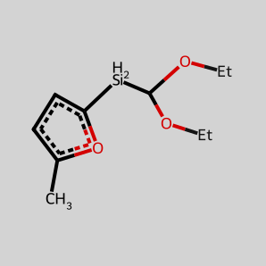 CCOC(OCC)[SiH2]c1ccc(C)o1